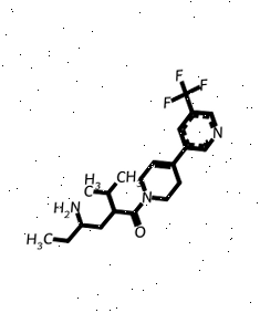 CCC(N)CC(C(=O)N1CC=C(c2cncc(C(F)(F)F)c2)CC1)C(C)C